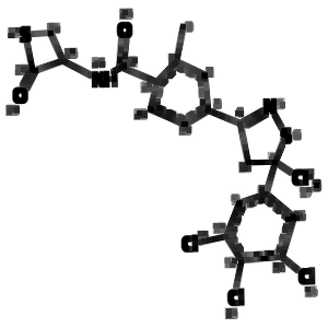 Cc1cc(C2=NSC(c3cc(Cl)c(Cl)c(Cl)c3)(C(F)(F)F)C2)ccc1C(=O)NC1CSC1=O